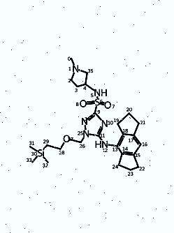 CN1CCC(NS(=O)(=O)c2nc(Nc3c4c(cc5c3CCC5)CCC4)n(COCC[Si](C)(C)C)n2)C1